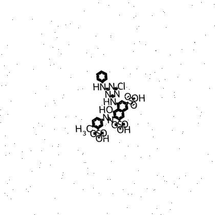 Cc1ccc(N=Nc2c(S(=O)(=O)O)cc3cc(S(=O)(=O)O)cc(Nc4nc(Cl)nc(Nc5ccccc5)n4)c3c2O)cc1S(=O)(=O)O